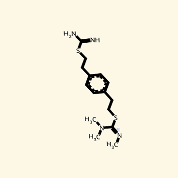 C/N=C(/SCCc1ccc(CCSC(=N)N)cc1)N(C)C